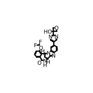 O=C1N[C@@H]2C[C@H](c3c(OC(F)F)cccc31)n1c2nc2ccc(-c3cnc(C4(O)COC4)nc3)cc21